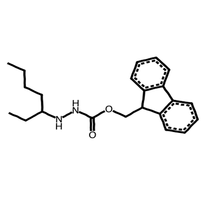 CCCCC(CC)NNC(=O)OCC1c2ccccc2-c2ccccc21